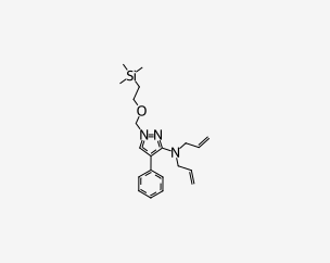 C=CCN(CC=C)c1nn(COCC[Si](C)(C)C)cc1-c1ccccc1